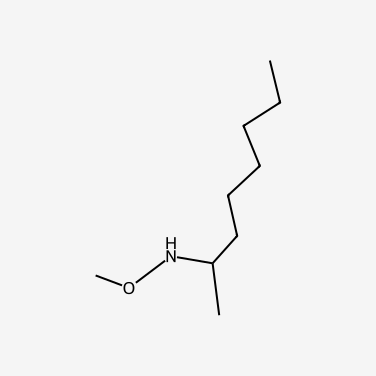 CCCCCCC(C)NOC